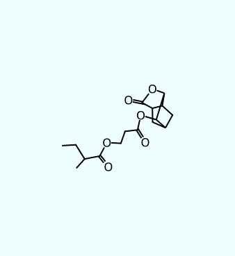 CCC(C)C(=O)OCCC(=O)OC1C2CC3C(=O)OC1C3C2